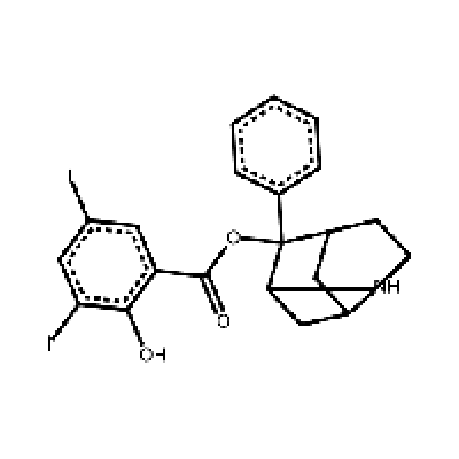 O=C(OC1(c2ccccc2)C2CC3CC1CC(C2)N3)c1cc(I)cc(I)c1O